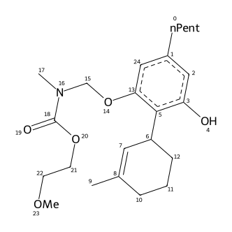 CCCCCc1cc(O)c(C2C=C(C)CCC2)c(OCN(C)C(=O)OCCOC)c1